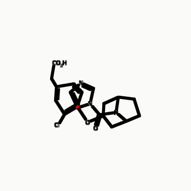 O=C(O)Cc1ccc(OC2CC3CCC(C2)N3C(=O)n2ccnc2)c(Cl)c1